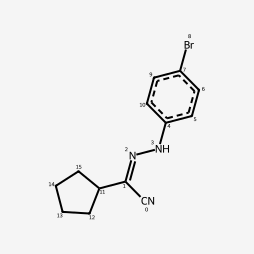 N#C/C(=N\Nc1ccc(Br)cc1)C1CCCC1